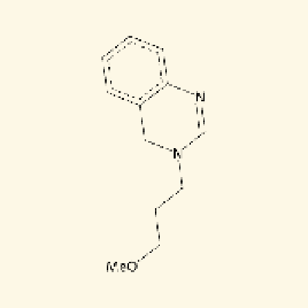 COCCCN1C=Nc2ccccc2C1